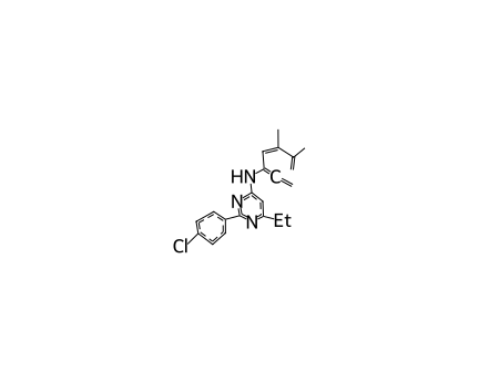 C=C=C(/C=C(/C)C(=C)C)Nc1cc(CC)nc(-c2ccc(Cl)cc2)n1